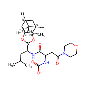 CC(C)CC(NC(=O)C(CC(=O)N1CCOCC1)NC(=O)O)B1O[C@H]2C[C@H]3C[C@H](C3(C)C)[C@@]2(C)O1